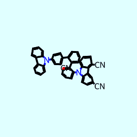 N#Cc1ccc2c(c1)c1c(C#N)cccc1n2-c1ccccc1-c1ccccc1-c1ccc(-n2c3ccccc3c3ccccc32)cc1C#N